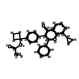 NC(=O)OC1(c2ccc(-c3c(-c4ccccc4)oc4c(C5CC5)nccc4c3=O)cc2)CCC1